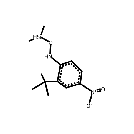 C[SiH](C)ONc1ccc([N+](=O)[O-])cc1C(C)(C)C